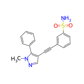 Cn1ncc(C#Cc2cccc(S(N)(=O)=O)c2)c1-c1ccccc1